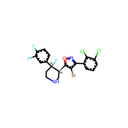 Fc1ccc([C@@]2(F)CCNC[C@@H]2c2onc(-c3cccc(Cl)c3Cl)c2Br)cc1F